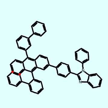 c1ccc(-c2cccc(-c3c4ccccc4c(-c4ccccc4-c4ccccc4)c4cc(-c5ccc(-c6nc7ccccc7n6-c6ccccc6)cc5)ccc34)c2)cc1